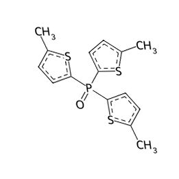 Cc1ccc(P(=O)(c2ccc(C)s2)c2ccc(C)s2)s1